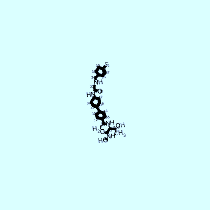 C=C(N[C@H](C(=O)NO)[C@@H](C)O)c1ccc(-c2ccc(NC(=O)CNCc3ccc(F)cc3)cc2)cc1